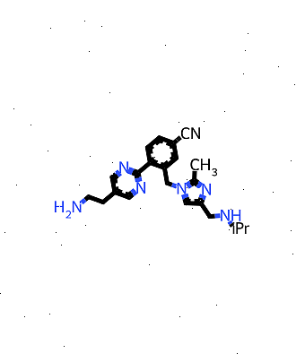 Cc1nc(CNC(C)C)cn1Cc1cc(C#N)ccc1-c1ncc(CCN)cn1